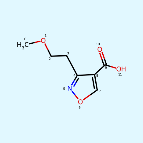 COCCc1nocc1C(=O)O